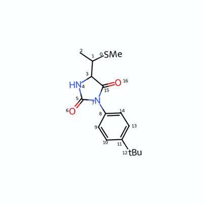 CSC(C)C1NC(=O)N(c2ccc(C(C)(C)C)cc2)C1=O